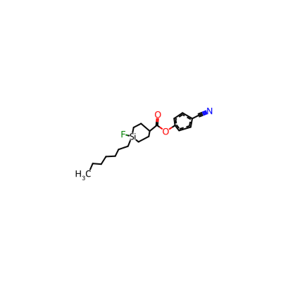 CCCCCCC[Si]1(F)CCC(C(=O)Oc2ccc(C#N)cc2)CC1